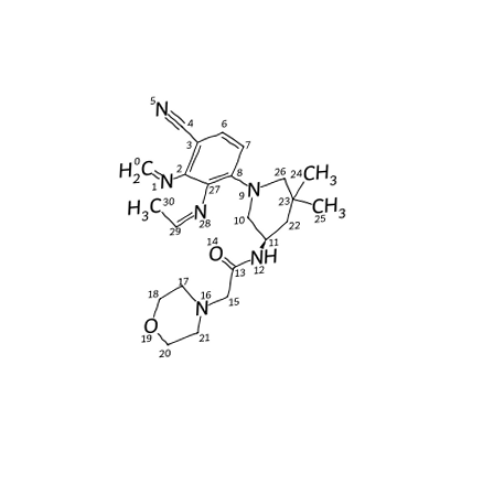 C=Nc1c(C#N)ccc(N2C[C@H](NC(=O)CN3CCOCC3)CC(C)(C)C2)c1/N=C\C